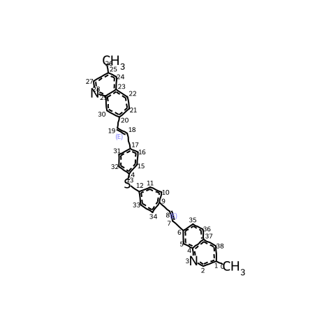 Cc1cnc2cc(/C=C/c3ccc(Sc4ccc(/C=C/c5ccc6cc(C)cnc6c5)cc4)cc3)ccc2c1